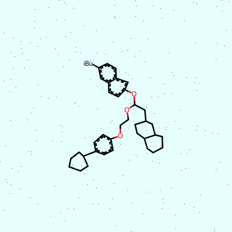 CCC(C)c1ccc2cc(OC(CC3CCC4CCCCC4C3)OCCOc3ccc(C4CCCCC4)cc3)ccc2c1